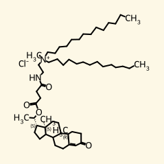 CCCCCCCCCCCCCC[N+](C)(CCCCCCCCCCCCCC)CCNC(=O)CCC(=O)OC(C)[C@H]1CCC2C3CCC4=CC(=O)CC[C@]4(C)C3CC[C@@]21C.[Cl-]